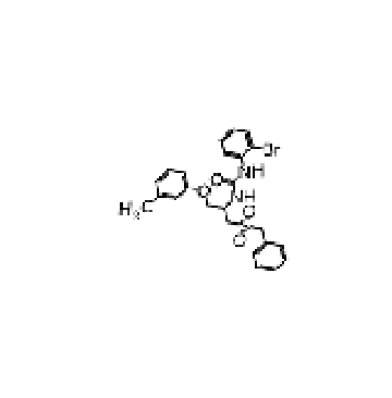 Cc1cccc(OCC(CS(=O)(=O)Cc2ccccc2)NC(=O)Nc2ccccc2Br)c1